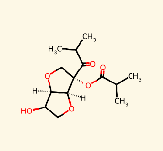 CC(C)C(=O)O[C@@]1(C(=O)C(C)C)CO[C@@H]2[C@H](O)CO[C@@H]21